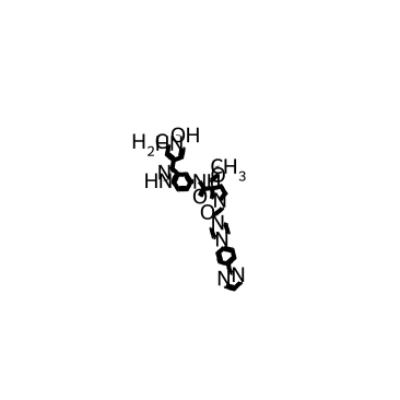 C=C/C=C(\C=C/NO)c1n[nH]c2ccc(NC(=O)[C@]3(COC)CCN(CC(=O)N4CCN(c5ccc(-c6ncccn6)cc5)CC4)C3)cc12